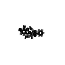 C#C[C@H](OC(=O)c1ccccc1)[C@@](F)(CI)O[C@H](CF)n1ccc(=O)[nH]c1=O